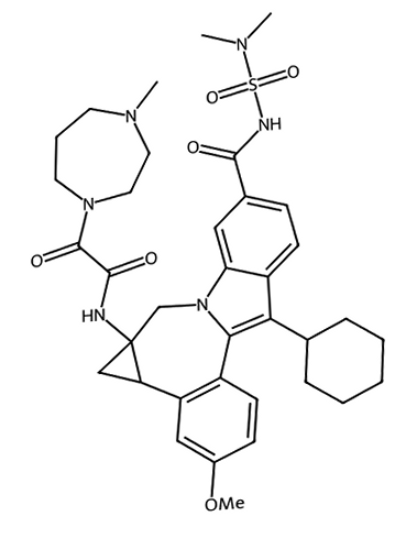 COc1ccc2c(c1)C1CC1(NC(=O)C(=O)N1CCCN(C)CC1)Cn1c-2c(C2CCCCC2)c2ccc(C(=O)NS(=O)(=O)N(C)C)cc21